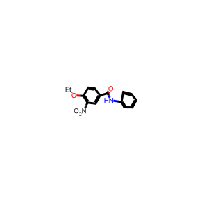 CCOc1ccc(C(=O)Nc2ccccc2)cc1[N+](=O)[O-]